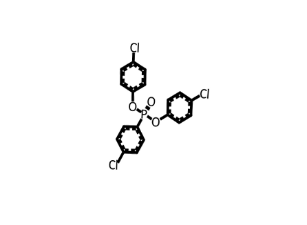 O=P(Oc1ccc(Cl)cc1)(Oc1ccc(Cl)cc1)c1ccc(Cl)cc1